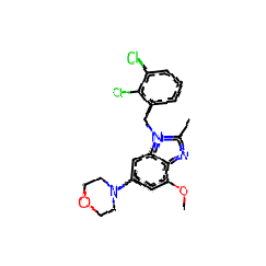 COc1cc(N2CCOCC2)cc2c1nc(C)n2Cc1cccc(Cl)c1Cl